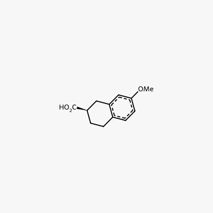 COc1ccc2c(c1)C[C@H](C(=O)O)CC2